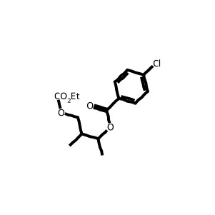 CCOC(=O)OCC(C)C(C)OC(=O)c1ccc(Cl)cc1